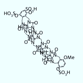 COc1ccc(OS(=O)(=O)O)c2c1CN1C(=O)N3CN4C(=O)N5CN6C(=O)N7CN8C(=O)N9Cc%10c(OS(=O)(=O)O)ccc(OS(=O)(=O)O)c%10CN%10C(=O)N(CN%11C(=O)N(CN%12C(=O)N(CN%13C(=O)N(C2)[C@@]1(C)[C@]3%13C)[C@H]4[C@H]5%12)[C@H]6[C@H]7%11)[C@@]8(C)[C@]9%10C